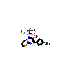 CN(C)C(=O)N=c1c(C#N)c(-c2ccc(C(C)(C)C)cc2)nc2n1CCCS2